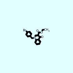 CCOC(=O)c1cn(Cc2ccc(Br)cc2)c2ccccc2c1=O